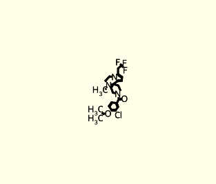 CC(C)Oc1ccc(C(=O)N2CCC3(CC2)c2ccc(CC(F)(F)F)n2CCN3C)cc1Cl